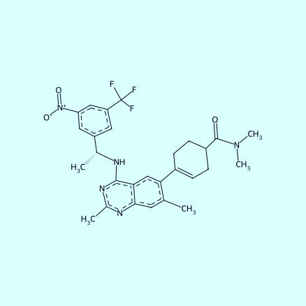 Cc1nc(N[C@H](C)c2cc([N+](=O)[O-])cc(C(F)(F)F)c2)c2cc(C3=CCC(C(=O)N(C)C)CC3)c(C)cc2n1